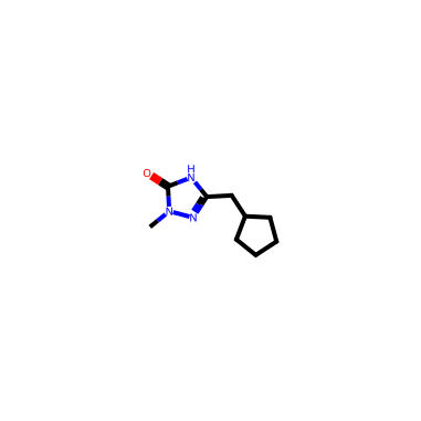 Cn1nc(CC2CCCC2)[nH]c1=O